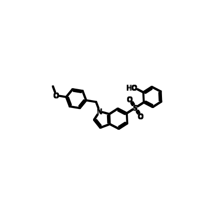 COc1ccc(Cn2ccc3ccc(S(=O)(=O)c4ccccc4O)cc32)cc1